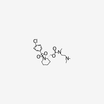 CN(C)CCN(C)C(=O)OC[C@@H]1CCCCN1S(=O)(=O)c1ccc(Cl)cc1